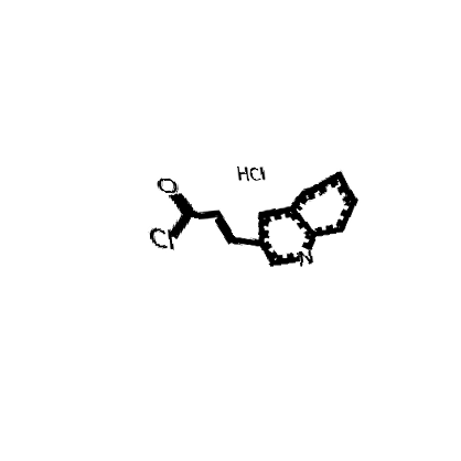 Cl.O=C(Cl)C=Cc1cnc2ccccc2c1